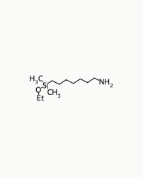 CCO[Si](C)(C)CCCCCCCN